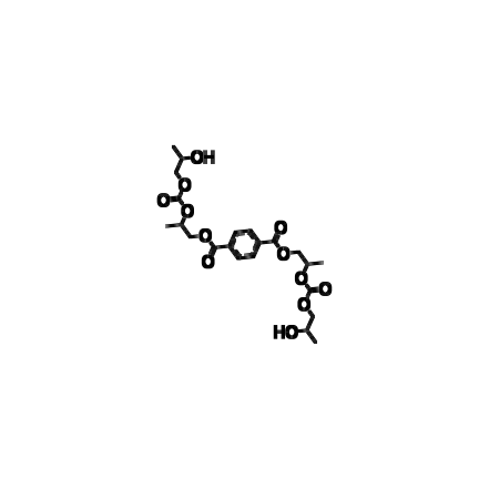 CC(O)COC(=O)OC(C)COC(=O)c1ccc(C(=O)OCC(C)OC(=O)OCC(C)O)cc1